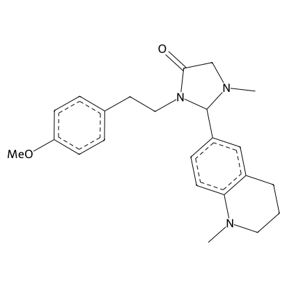 COc1ccc(CCN2C(=O)CN(C)C2c2ccc3c(c2)CCCN3C)cc1